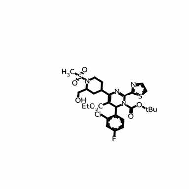 CCOC(=O)C1=C(C2CCN(S(C)(=O)=O)C(CO)C2)N=C(c2nccs2)N(C(=O)OC(C)(C)C)C1c1ccc(F)cc1Cl